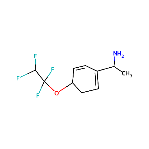 CC(N)C1=CCC(OC(F)(F)C(F)F)C=C1